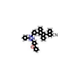 N#Cc1ccc(-c2cc3c4ccccc4c(-c4cccc(-c5nc(-c6ccccc6)nc(-c6ccc7c(c6)oc6ccccc67)n5)c4)cc3c3ccccc23)c2ccccc12